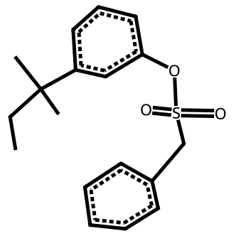 CCC(C)(C)c1cccc(OS(=O)(=O)Cc2ccccc2)c1